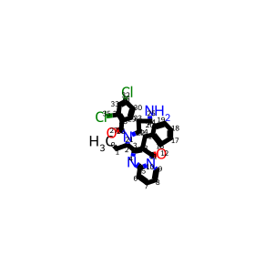 CCC(c1nc2ccccn2c(=O)c1Cc1ccccc1)N(CCCN)C(=O)c1ccc(Cl)cc1Cl